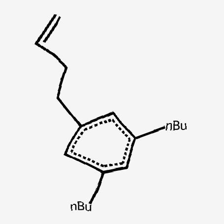 C=CCCc1cc(CCCC)cc(CCCC)c1